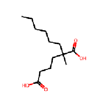 CCCCCCC(C)(CCCC(=O)O)C(=O)O